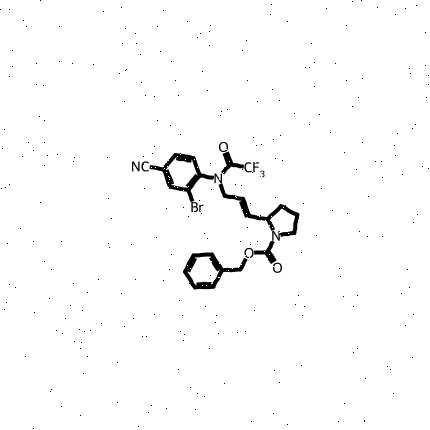 N#Cc1ccc(N(CC=CC2CCCN2C(=O)OCc2ccccc2)C(=O)C(F)(F)F)c(Br)c1